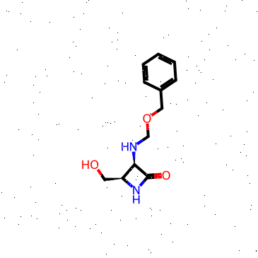 O=C1N[C@@H](CO)[C@H]1NCOCc1ccccc1